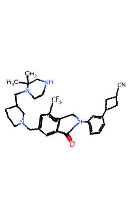 CC1(C)CNCCN1CC1CCCN(Cc2cc3c(c(C(F)(F)F)c2)CN(c2cccc(C4CC(C#N)C4)c2)C3=O)C1